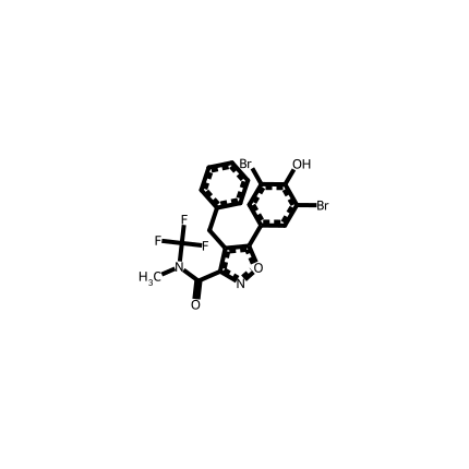 CN(C(=O)c1noc(-c2cc(Br)c(O)c(Br)c2)c1Cc1ccccc1)C(F)(F)F